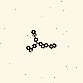 c1ccc2cc(-c3ccc4c(ccc5cc(N(c6ccc(-c7nc8ccccc8o7)cc6)c6ccc(-c7cncc8ccccc78)cc6)ccc54)c3)ccc2c1